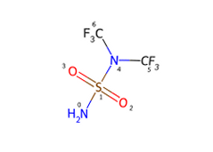 NS(=O)(=O)N(C(F)(F)F)C(F)(F)F